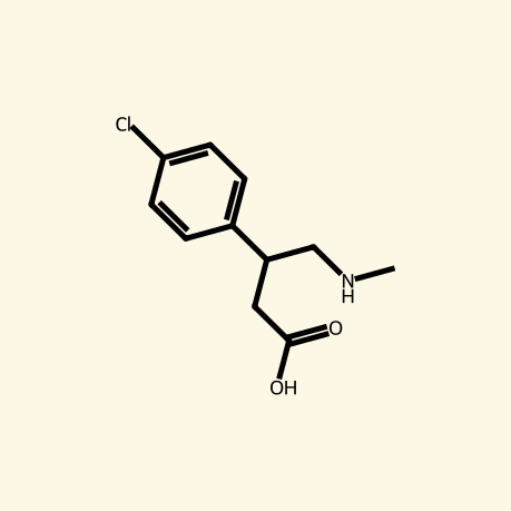 CNCC(CC(=O)O)c1ccc(Cl)cc1